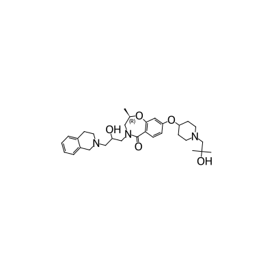 C[C@@H]1CN(CC(O)CN2CCc3ccccc3C2)C(=O)c2ccc(OC3CCN(CC(C)(C)O)CC3)cc2O1